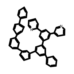 c1ccc(-c2ccc(-c3cccc(-c4cccc(-c5cc(-c6ccccc6)cc(-c6cc(-c7cccnc7)cc(-c7ccccn7)c6)c5)c4)c3)cc2)cc1